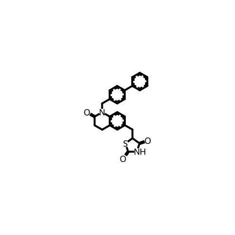 O=C1NC(=O)C(Cc2ccc3c(c2)CCC(=O)N3Cc2ccc(-c3ccccc3)cc2)S1